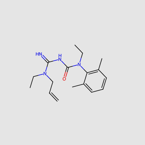 C=CCN(CC)C(=N)NC(=O)N(CC)c1c(C)cccc1C